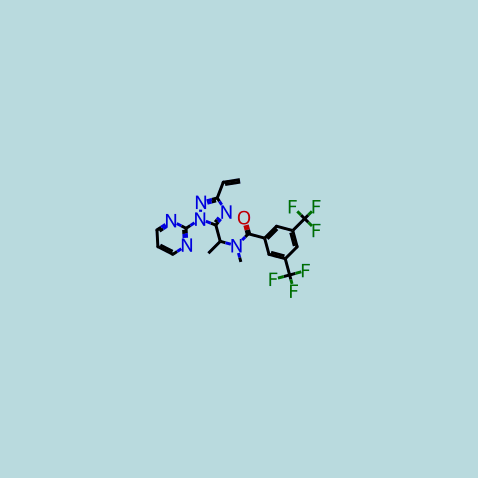 C=Cc1nc(C(C)N(C)C(=O)c2cc(C(F)(F)F)cc(C(F)(F)F)c2)n(-c2ncccn2)n1